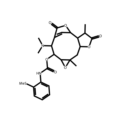 CSc1ccccc1NC(=O)OC1C(N(C)C)C2=CC(OC2=O)C2C(CC3(C)OC13)OC(=O)C2C